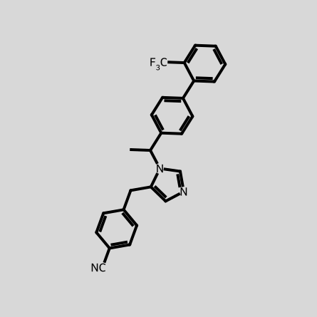 CC(c1ccc(-c2ccccc2C(F)(F)F)cc1)n1cncc1Cc1ccc(C#N)cc1